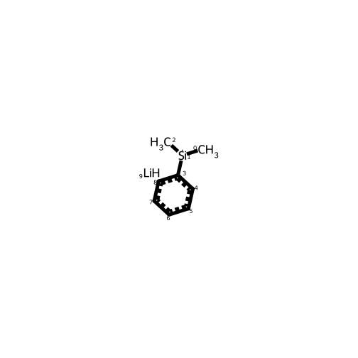 C[Si](C)c1ccccc1.[LiH]